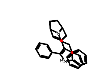 C1=C(c2c(-c3ccccc3)[nH]c3ccccc23)CC2CCC1N2CCc1ccccc1